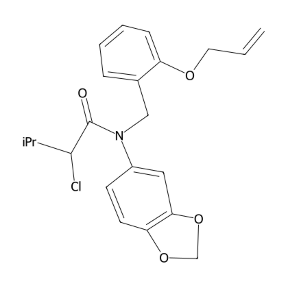 C=CCOc1ccccc1CN(C(=O)C(Cl)C(C)C)c1ccc2c(c1)OCO2